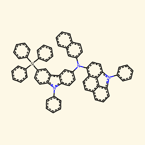 c1ccc(-n2c3ccc(N(c4ccc5ccccc5c4)c4ccc5c6c4ccc4cccc(c46)n5-c4ccccc4)cc3c3cc([Si](c4ccccc4)(c4ccccc4)c4ccccc4)ccc32)cc1